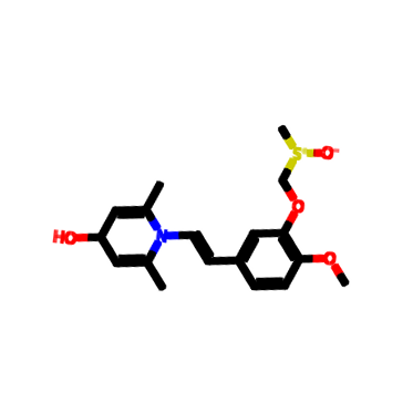 COc1ccc(/C=C/N2C(C)=CC(O)C=C2C)cc1OC[S+](C)[O-]